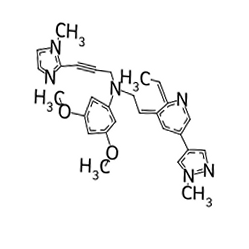 C/C=c1/ncc(-c2cnn(C)c2)c/c1=C/CN(CC#Cc1nccn1C)c1cc(OC)cc(OC)c1